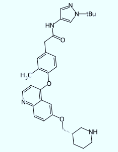 Cc1cc(CC(=O)Nc2cnn(C(C)(C)C)c2)ccc1Oc1ccnc2ccc(OC[C@H]3CCCNC3)cc12